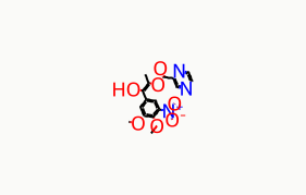 COc1cc(C(O)=C(C)OC(=O)c2cnccn2)cc([N+](=O)[O-])c1OC